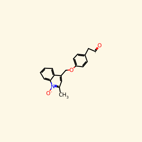 Cc1cc(COc2ccc(C[C]=O)cc2)c2ccccc2[n+]1[O-]